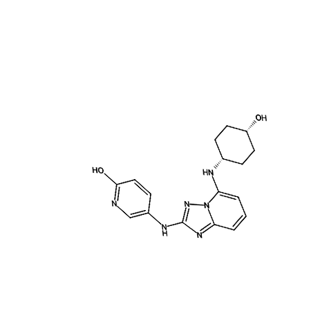 Oc1ccc(Nc2nc3cccc(N[C@H]4CC[C@@H](O)CC4)n3n2)cn1